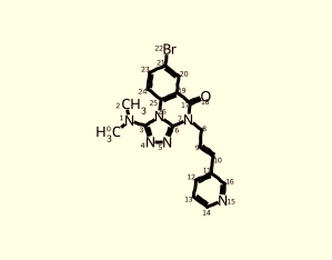 CN(C)c1nnc2n(CC=Cc3cccnc3)c(=O)c3cc(Br)ccc3n12